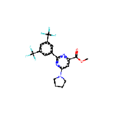 COC(=O)c1cc(N2CCCC2)nc(-c2cc(C(F)(F)F)cc(C(F)(F)F)c2)n1